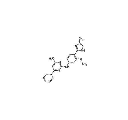 COc1cc(Nc2nc(C)cc(-c3ccccc3)n2)ccc1-c1nc(C)c[nH]1